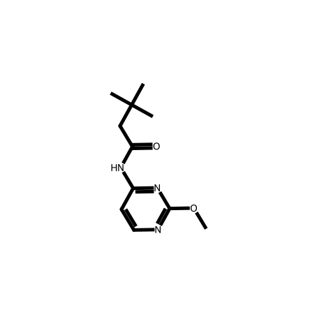 COc1nccc(NC(=O)CC(C)(C)C)n1